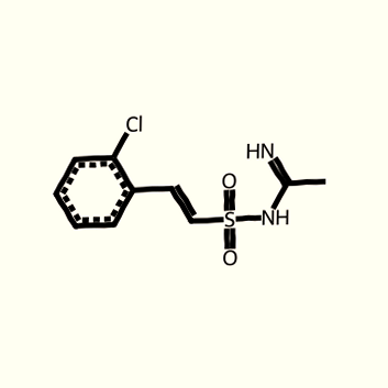 CC(=N)NS(=O)(=O)/C=C/c1ccccc1Cl